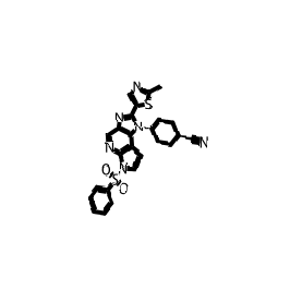 Cc1ncc(-c2nc3cnc4c(ccn4S(=O)(=O)c4ccccc4)c3n2[C@H]2CC[C@H](C#N)CC2)s1